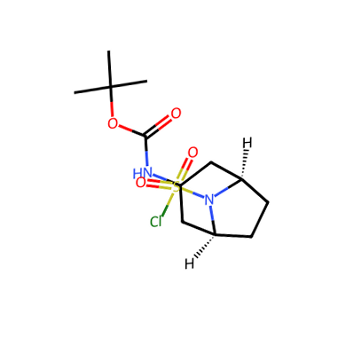 CC(C)(C)OC(=O)NC1C[C@H]2CC[C@@H](C1)N2S(=O)(=O)Cl